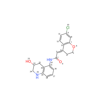 O=C(/C=C1\CCOc2cc(Cl)ccc21)Nc1cccc2c1CC(O)CN2